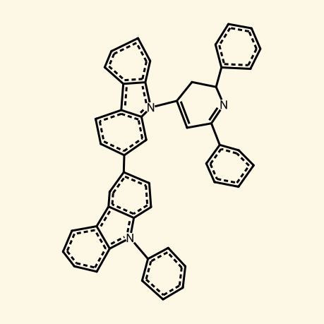 C1=C(n2c3ccccc3c3ccc(-c4ccc5c(c4)c4ccccc4n5-c4ccccc4)cc32)CC(c2ccccc2)N=C1c1ccccc1